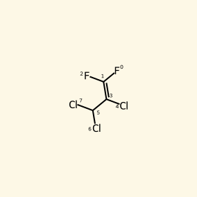 FC(F)=C(Cl)C(Cl)Cl